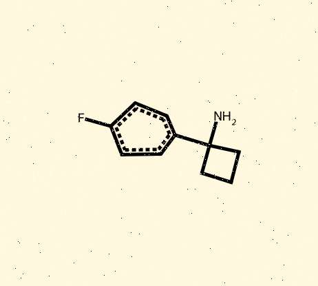 NC1(c2ccc(F)cc2)CCC1